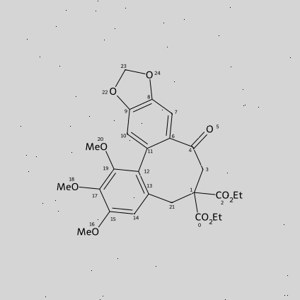 CCOC(=O)C1(C(=O)OCC)CC(=O)c2cc3c(cc2-c2c(cc(OC)c(OC)c2OC)C1)OCO3